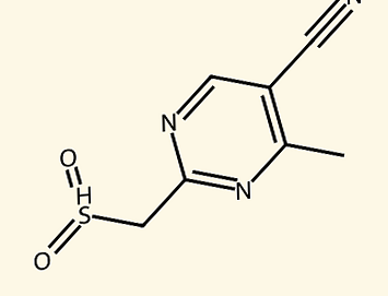 Cc1nc(C[SH](=O)=O)ncc1C#N